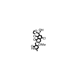 COc1cc(C)[nH]c(=O)c1CN1CCc2c(Cl)cc([C@H](CO)[C@@H]3CCCO3)c(Cl)c2C1=O